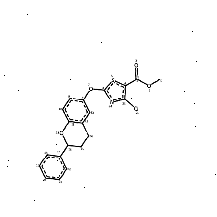 COC(=O)c1sc(Oc2ccc3c(c2)CCC(c2ccccc2)O3)nc1Cl